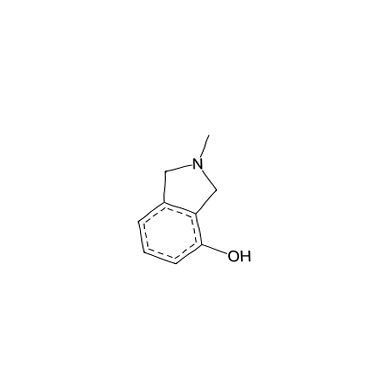 CN1Cc2cccc(O)c2C1